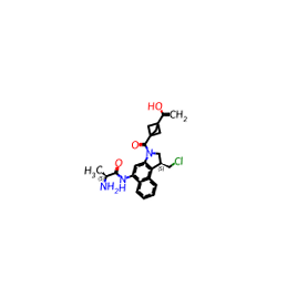 C=C(O)C12CC(C(=O)N3C[C@@H](CCl)c4c3cc(NC(=O)[C@H](C)N)c3ccccc43)(C1)C2